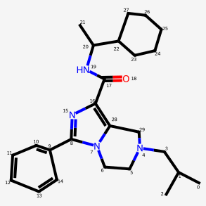 CC(C)CN1CCn2c(-c3ccccc3)nc(C(=O)NC(C)C3CCCCC3)c2C1